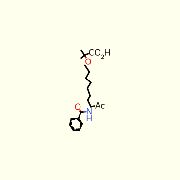 CC(=O)C(CCCCCCCOC(C)(C)C(=O)O)NC(=O)c1ccccc1